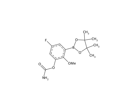 COc1c(OC(N)=O)cc(F)cc1B1OC(C)(C)C(C)(C)O1